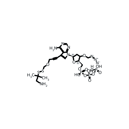 CC(C)(CN)SSCOCC#Cc1cn([C@H]2CC(OCN=[N+]=[N-])[C@@H](COP(=O)(O)OP(=O)(O)OP(=O)(O)O)O2)c2ncnc(N)c12